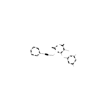 Cc1cc(C)cc(Oc2c(C(C)C)c(=O)[nH]c(=O)n2CC#Cc2ccccc2)c1